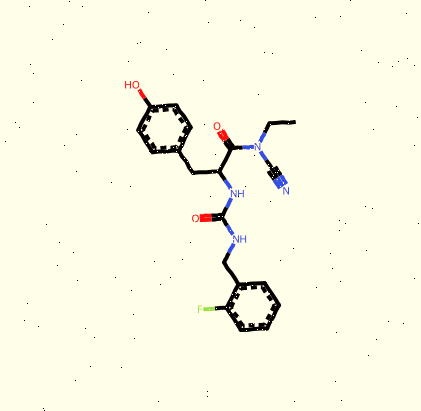 CCN(C#N)C(=O)C(Cc1ccc(O)cc1)NC(=O)NCc1ccccc1F